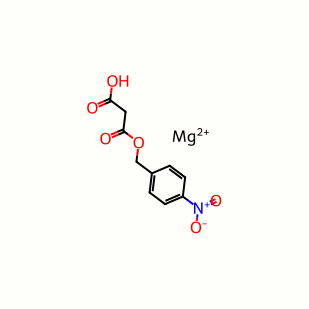 O=C(O)CC(=O)OCc1ccc([N+](=O)[O-])cc1.[Mg+2]